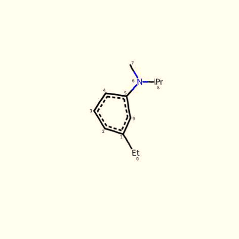 CCc1cccc(N(C)C(C)C)c1